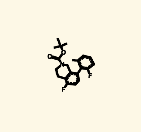 Cc1cccc(F)c1-c1ccc(F)c2c1CN(C(=O)OC(C)(C)C)CC2